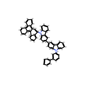 c1ccc(-c2cccc(-n3c4ccccc4c4cc(-c5ccc6c(c5)c5ccccc5n6-c5cc6c7ccccc7c7ccccc7c6c6ccccc56)ccc43)c2)cc1